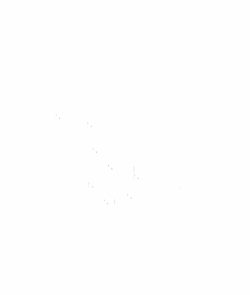 Cc1ccc2nc(-c3nc(N4CCN(c5ccccc5C#N)CC4)cnc3N)[nH]c2c1